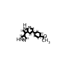 CC(=O)c1ccc(-c2cnc3[nH]cc(-c4cn[nH]c4)c3c2)cc1